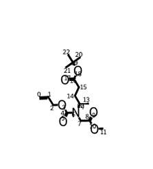 C=CCOC(=O)N(CC(=O)OC)[C@H](C)CCC(=O)OC(C)(C)C